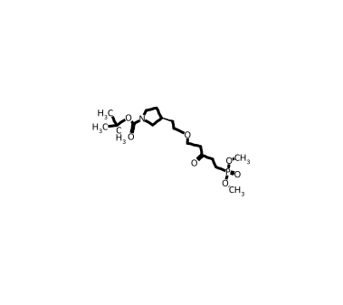 COP(=O)(CCC(=O)CCOCC[C@@H]1CCN(C(=O)OC(C)(C)C)C1)OC